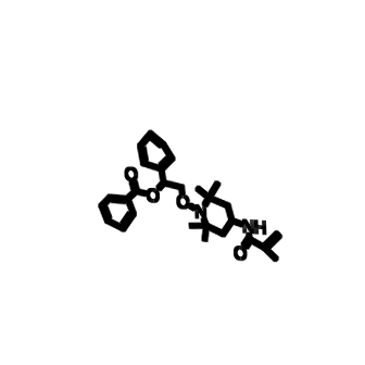 C=C(C)C(=O)NC1CC(C)(C)N(OCC(OC(=O)c2ccccc2)c2ccccc2)C(C)(C)C1